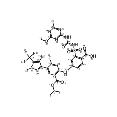 CC(C)OC(=O)c1cc(-c2nn(C)c(C(F)(F)F)c2Br)c(F)cc1Cl.COc1nc(C)nc(NC(=O)NS(=O)(=O)c2cc(I)ccc2C(=O)O)n1